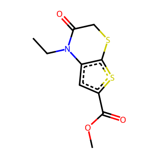 CCN1C(=O)CSc2sc(C(=O)OC)cc21